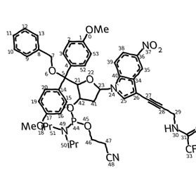 COc1ccc(C(OCc2ccccc2)(c2ccc(OC)cc2)C2OC(n3cc(C#CCNC(=O)C(F)(F)F)c4cc([N+](=O)[O-])ccc43)CC2OP(OCCC#N)N(C(C)C)C(C)C)cc1